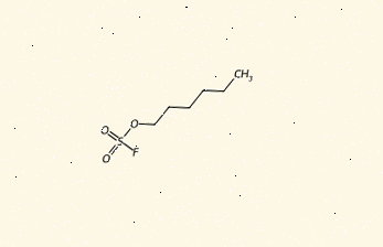 CCCCCCOS(=O)(=O)F